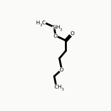 CCOCCC(=O)O[SiH2]C